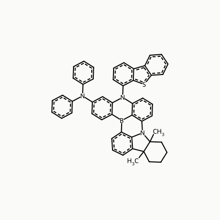 CC12CCCCC1(C)N1c3cccc4c3B(c3ccc(N(c5ccccc5)c5ccccc5)cc3N4c3cccc4c3sc3ccccc34)c3cccc2c31